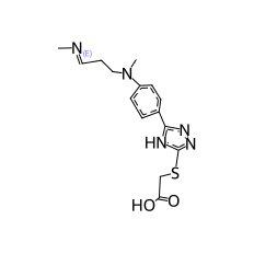 C/N=C/CCN(C)c1ccc(-c2nnc(SCC(=O)O)[nH]2)cc1